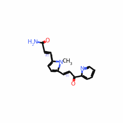 Cn1c(/C=C/C(N)=O)ccc1/C=C/C(=O)c1ccccn1